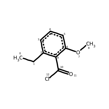 CCc1cccc(OC)c1C(=O)Cl